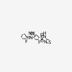 N[C@H](Nc1cc(F)c(S(=O)(=O)Nc2cscn2)cc1Cl)c1ccccc1F